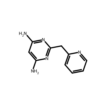 Nc1cc(N)nc(Cc2ccccn2)n1